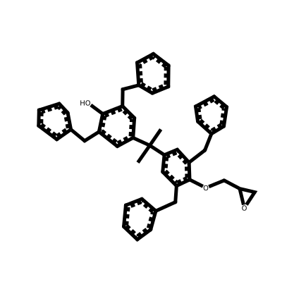 CC(C)(c1cc(Cc2ccccc2)c(O)c(Cc2ccccc2)c1)c1cc(Cc2ccccc2)c(OCC2CO2)c(Cc2ccccc2)c1